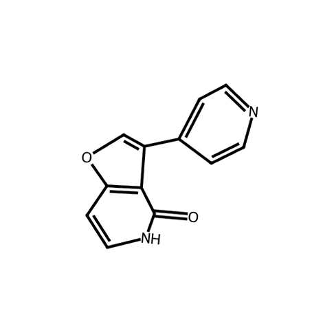 O=c1[nH]ccc2occ(-c3ccncc3)c12